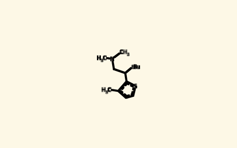 Cc1ccsc1C(CN(C)C)C(C)(C)C